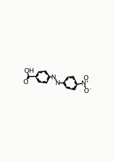 O=C(O)c1ccc(/N=N/c2ccc([N+](=O)[O-])cc2)cc1